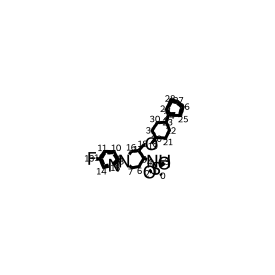 CS(=O)(=O)NC1CCN(c2ccc(F)cn2)CC1COC1CCC(c2ccccc2)CC1